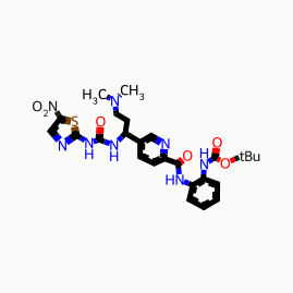 CN(C)CCC(NC(=O)Nc1ncc([N+](=O)[O-])s1)c1ccc(C(=O)Nc2ccccc2NC(=O)OC(C)(C)C)nc1